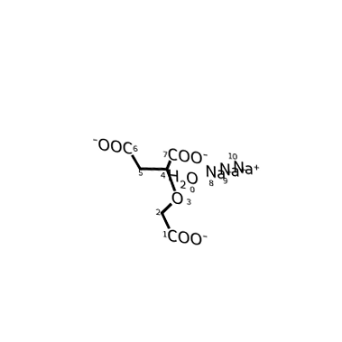 O.O=C([O-])COC(CC(=O)[O-])C(=O)[O-].[Na+].[Na+].[Na+]